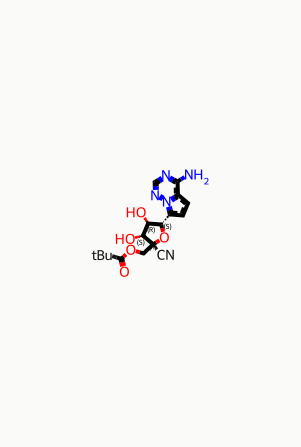 CC(C)(C)C(=O)OC[C@@]1(C#N)O[C@@H](c2ccc3c(N)ncnn23)[C@H](O)[C@@H]1O